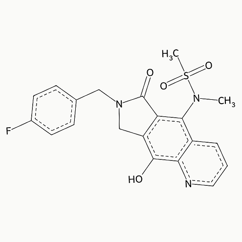 CN(c1c2c(c(O)c3ncccc13)CN(Cc1ccc(F)cc1)C2=O)S(C)(=O)=O